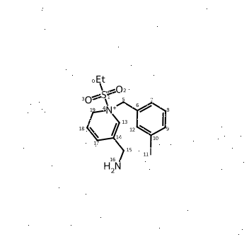 CCS(=O)(=O)[N+]1(Cc2cccc(I)c2)C=C(CN)C=CC1